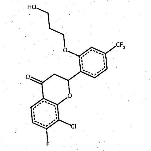 O=C1CC(c2ccc(C(F)(F)F)cc2OCCCO)Oc2c1ccc(F)c2Cl